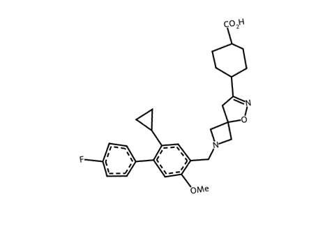 COc1cc(-c2ccc(F)cc2)c(C2CC2)cc1CN1CC2(CC(C3CCC(C(=O)O)CC3)=NO2)C1